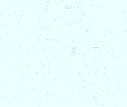 Cc1nn(-c2cc(Nc3c(C)c(-c4ccc(C#N)cc4)nn3CC3CC3)ncn2)c(C)c1F